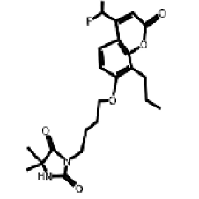 CCCc1c(OCCCCN2C(=O)NC(C)(C)C2=O)ccc2c(C(F)F)cc(=O)oc12